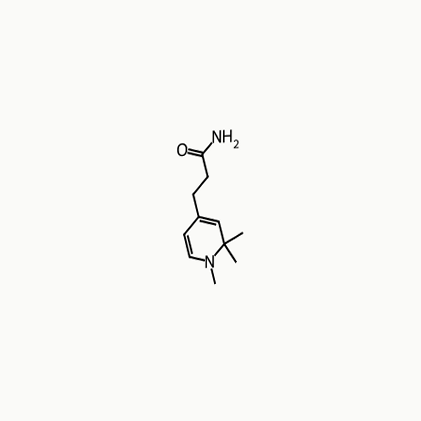 CN1C=CC(CCC(N)=O)=CC1(C)C